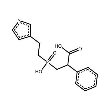 O=C(O)C(CP(=O)(O)CCc1ccsc1)c1ccccc1